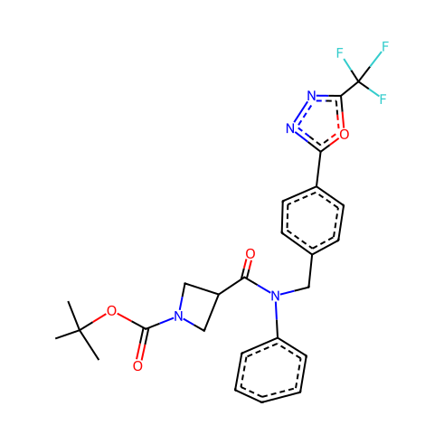 CC(C)(C)OC(=O)N1CC(C(=O)N(Cc2ccc(-c3nnc(C(F)(F)F)o3)cc2)c2ccccc2)C1